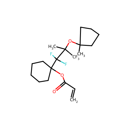 C=CC(=O)OC1(C(F)(F)C(C)(OC2(C)CCCC2)C(F)(F)F)CCCCC1